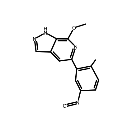 COc1nc(-c2cc(N=O)ccc2C)cc2cn[nH]c12